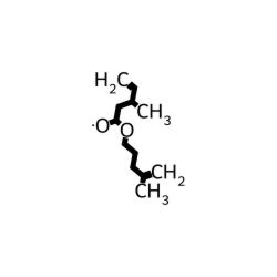 C=CC(C)CC([O])OCCCC(=C)C